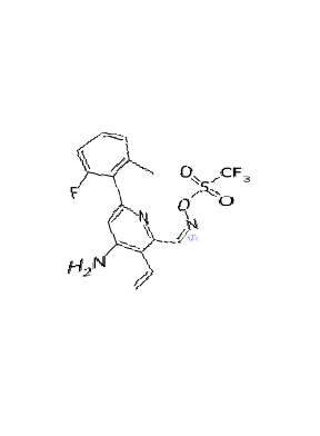 C=Cc1c(N)cc(-c2c(C)cccc2F)nc1/C=N\OS(=O)(=O)C(F)(F)F